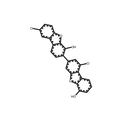 Oc1c(-c2cc(Cl)c3c(c2)oc2c(O)cccc23)ccc2c1oc1ccc(Cl)cc12